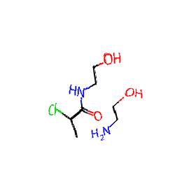 CC(Cl)C(=O)NCCO.NCCO